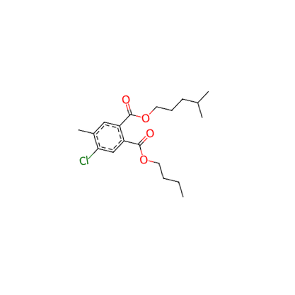 CCCCOC(=O)c1cc(Cl)c(C)cc1C(=O)OCCCC(C)C